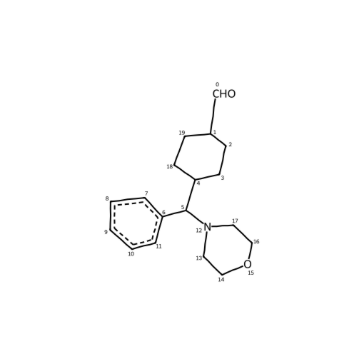 O=CC1CCC(C(c2ccccc2)N2CCOCC2)CC1